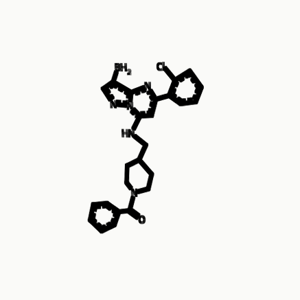 Bc1cnn2c(NCC3CCN(C(=O)c4ccccc4)CC3)cc(-c3ccccc3Cl)nc12